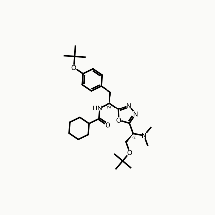 CN(C)[C@@H](COC(C)(C)C)c1nnc([C@H](Cc2ccc(OC(C)(C)C)cc2)NC(=O)C2CCCCC2)o1